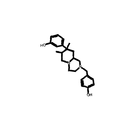 CC1CN2CCN(Cc3ccc(O)cc3)CC2CC1(C)c1cccc(O)c1